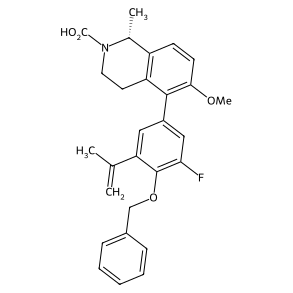 C=C(C)c1cc(-c2c(OC)ccc3c2CCN(C(=O)O)[C@@H]3C)cc(F)c1OCc1ccccc1